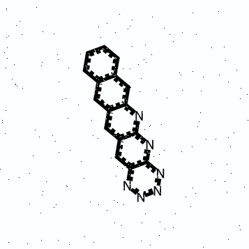 c1ccc2cc3nc4nc5nnnnc5cc4cc3cc2c1